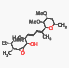 CC[C@H](OC)[C@@H](C)[C@H]1O[C@@H]1[C@H](O)[C@@H](C)/C=C/C=C(\C)[C@@H]1O[C@@H](C)C[C@@H](OC)[C@@H]1OC